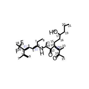 C=C(C)/C(=C\C=C(/CC)NC(C)C(=O)/C(CCC(O)CCC)=C(/C)C(C)=O)C(C)(F)F